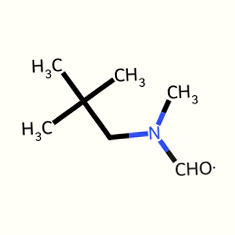 CN([C]=O)CC(C)(C)C